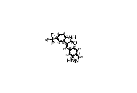 O=C1Nc2ccc(C(F)(F)F)cc2C1=Cc1ccc2cn[nH]c2c1